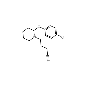 C#CCCCN1CCCCC1Oc1ccc(Cl)cc1